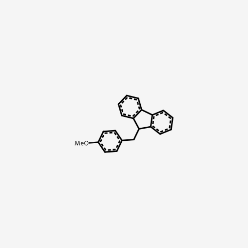 COc1ccc(CC2c3ccccc3-c3ccccc32)cc1